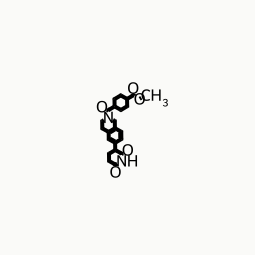 COC(=O)C1CCC(C(=O)N2CCc3cc(C4CCC(=O)NC4=O)ccc3C2)CC1